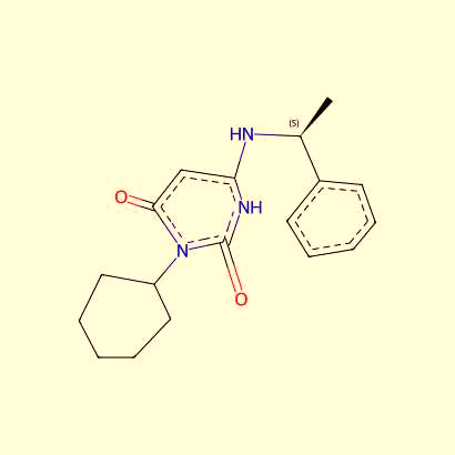 C[C@H](Nc1cc(=O)n(C2CCCCC2)c(=O)[nH]1)c1ccccc1